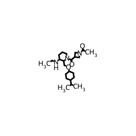 CCNC1CCCN(C(=O)C2CN(C(C)=O)C2)C1COC1CCC(C(C)C)CC1